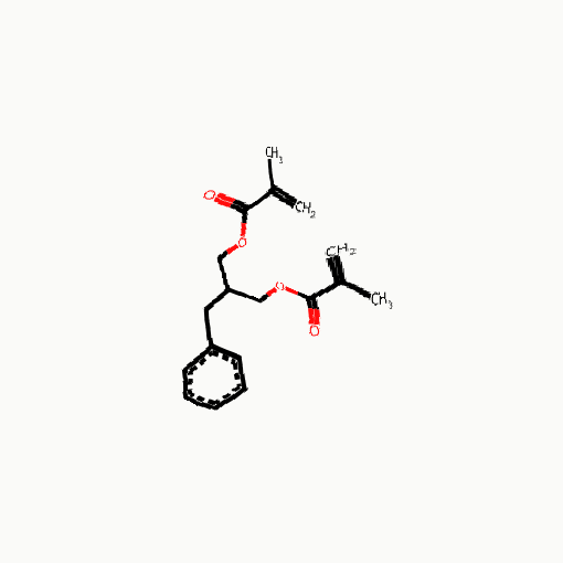 C=C(C)C(=O)OCC(COC(=O)C(=C)C)Cc1ccccc1